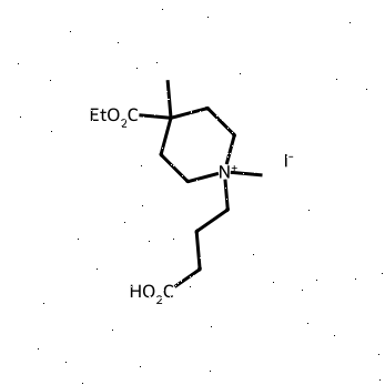 CCOC(=O)C1(C)CC[N+](C)(CCCC(=O)O)CC1.[I-]